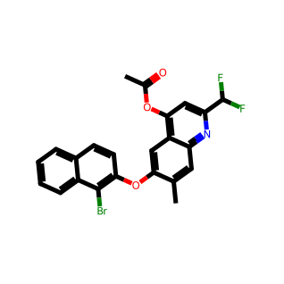 CC(=O)Oc1cc(C(F)F)nc2cc(C)c(Oc3ccc4ccccc4c3Br)cc12